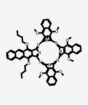 CCCCOc1c2c(c(OCCCC)c3cc4ccccc4cc13)-c1nc-2nc2[nH]c(nc3nc(nc4c5c(OC)c6ccccc6c(OC)c5c(n1)n4C)-c1c-3c(OC)c3ccccc3c1OC)c1c(OC)c3ccccc3c(OC)c21